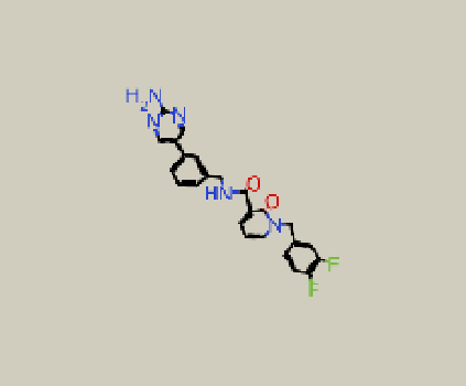 Nc1ncc(-c2cccc(CNC(=O)c3cccn(Cc4ccc(F)c(F)c4)c3=O)c2)cn1